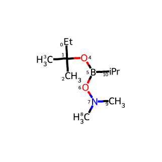 CCC(C)(C)OB(ON(C)C)C(C)C